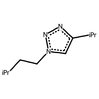 CC(C)CCn1cc(C(C)C)nn1